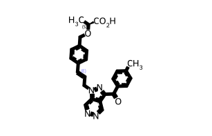 Cc1ccc(C(=O)c2nn(C/C=C/c3ccc(CO[C@@H](C)C(=O)O)cc3)c3cnncc23)cc1